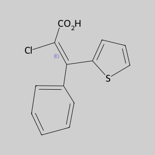 O=C(O)/C(Cl)=C(/c1ccccc1)c1cccs1